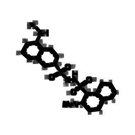 CNc1ccc2ccccc2c1S(=O)(=O)N[N]S(=O)(=O)c1ccc2c(NC(C)C)cccc2c1